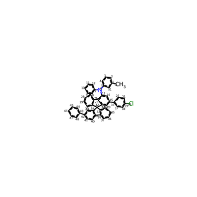 Cc1cccc(N(c2ccccc2)c2cc(-c3ccc(Cl)cc3)cc3c2-c2ccccc2C32c3ccccc3-c3ccc(-c4ccccc4)cc32)c1